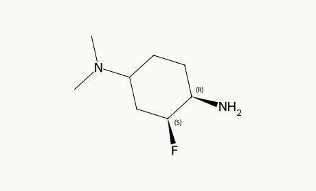 CN(C)C1CC[C@@H](N)[C@@H](F)C1